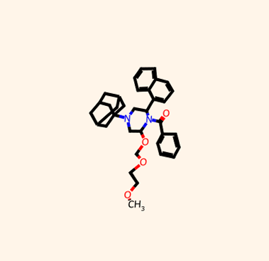 COCCOCOC1CN(C23CC4CC(CC(C4)C2)C3)CC(c2cccc3ccccc23)N1C(=O)c1ccccc1